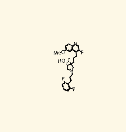 COc1ccc2ncc(F)c(CCCC3(C(=O)O)CCN(C/C=C/c4c(F)cccc4F)C3)c2c1